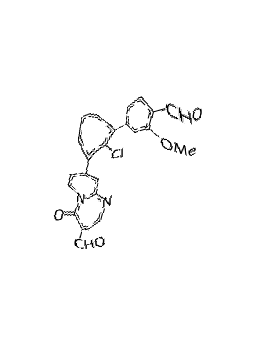 COc1cc(-c2cccc(-c3ccn4c(=O)c(C=O)cnc4c3)c2Cl)ccc1C=O